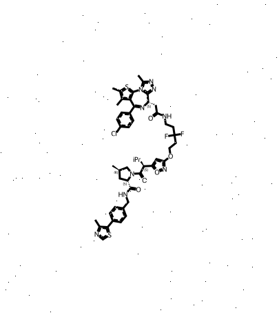 Cc1ncsc1-c1ccc(CNC(=O)[C@@H]2C[C@@H](C)CN2C(=O)[C@H](c2cc(OCCC(F)(F)CCNC(=O)C[C@@H]3N=C(c4ccc(Cl)cc4)c4c(sc(C)c4C)-n4c(C)nnc43)no2)C(C)C)cc1